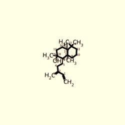 C=CC(=C)CC[C@@H]1[C@@]2(C)CCCC(C)(C)[C@@H]2CC[C@@]1(C)O